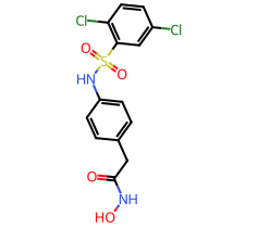 O=C(Cc1ccc(NS(=O)(=O)c2cc(Cl)ccc2Cl)cc1)NO